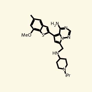 COc1cc(C)cc2cc(-c3cc(CNC4CCN(C(C)C)CC4)n4ncnc(N)c34)sc12